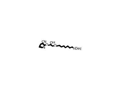 CCCCCCCCCCCCCCCCCCOCC(O)COc1ncccc1C#N